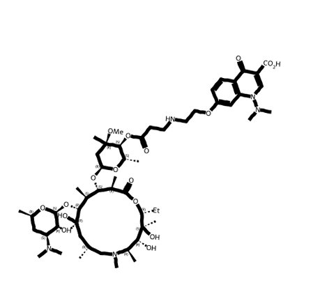 CC[C@H]1OC(=O)[C@H](C)[C@@H](O[C@H]2C[C@@](C)(OC)[C@@H](OC(=O)CCNCCOc3ccc4c(=O)c(C(=O)O)cn(N(C)C)c4c3)[C@H](C)O2)[C@H](C)[C@@H](O[C@@H]2O[C@H](C)C[C@H](N(C)C)[C@H]2O)[C@](C)(O)C[C@@H](C)CN(C)[C@H](C)[C@@H](O)[C@]1(C)O